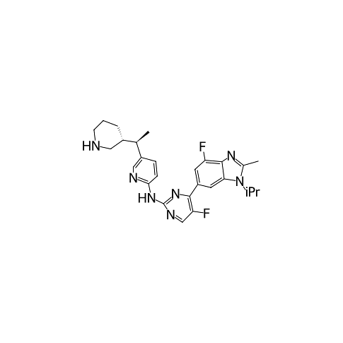 Cc1nc2c(F)cc(-c3nc(Nc4ccc([C@H](C)[C@H]5CCCNC5)cn4)ncc3F)cc2n1C(C)C